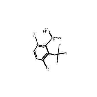 CC(C)(C)c1c(Cl)ccc(Cl)c1B(O)O